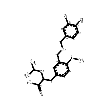 COc1ccc(CC(OC(C)C)C(=O)O)cc1COCc1ccc(Cl)c(Cl)c1